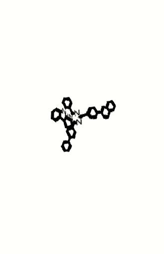 c1ccc(-c2ccc(C3=NC(c4ccc(-c5ccc6ccccc6c5)cc4)=NC(c4ccccc4-n4c5ccccc5c5ccccc54)N3)cc2)cc1